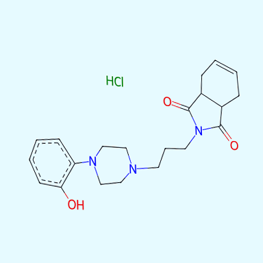 Cl.O=C1C2CC=CCC2C(=O)N1CCCN1CCN(c2ccccc2O)CC1